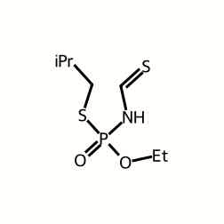 CCOP(=O)(NC=S)SCC(C)C